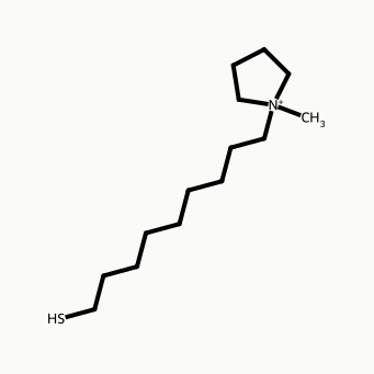 C[N+]1(CCCCCCCCCS)CCCC1